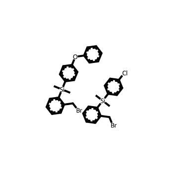 C[Si](C)(c1ccc(Cl)cc1)c1ccccc1CBr.C[Si](C)(c1ccc(Oc2ccccc2)cc1)c1ccccc1CBr